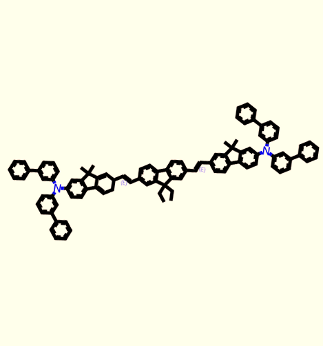 CCC1(CC)c2cc(/C=C/c3ccc4c(c3)C(C)(C)c3cc(N(c5cccc(-c6ccccc6)c5)c5cccc(-c6ccccc6)c5)ccc3-4)ccc2-c2ccc(/C=C/C3C=C4C(=CC3)c3ccc(N(c5cccc(-c6ccccc6)c5)c5cccc(-c6ccccc6)c5)cc3C4(C)C)cc21